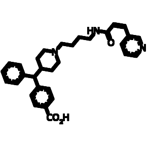 O=C(/C=C\c1cccnc1)NCCCCN1CCC(C(c2ccccc2)c2ccc(C(=O)O)cc2)CC1